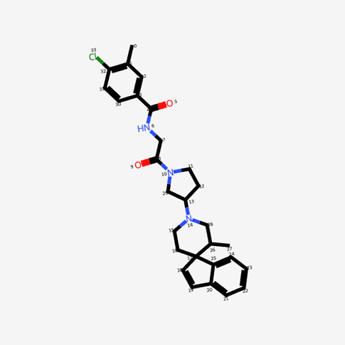 Cc1cc(C(=O)NCC(=O)N2CCC(N3CCC4(C=Cc5ccccc54)C(C)C3)C2)ccc1Cl